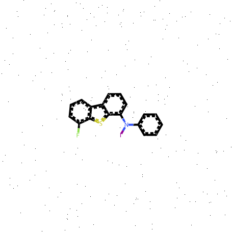 Fc1cccc2c1sc1c(N(I)c3ccccc3)cccc12